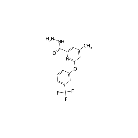 Cc1cc(Oc2cccc(C(F)(F)F)c2)nc(C(=O)NN)c1